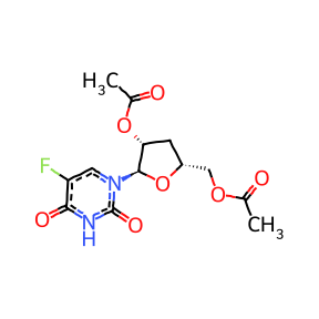 CC(=O)OC[C@H]1C[C@@H](OC(C)=O)[C@H](n2cc(F)c(=O)[nH]c2=O)O1